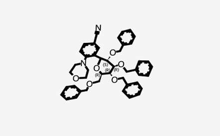 N#Cc1ccc(N2CCOCC2)c(C2O[C@H](COCc3ccccc3)[C@@H](OCc3ccccc3)[C@H](OCc3ccccc3)[C@H]2OCc2ccccc2)c1